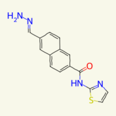 NN=Cc1ccc2cc(C(=O)Nc3nccs3)ccc2c1